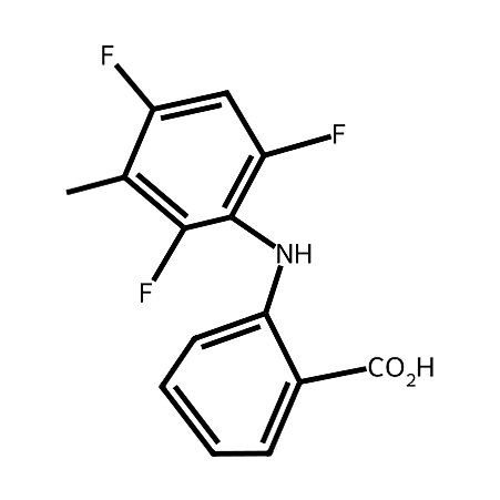 Cc1c(F)cc(F)c(Nc2ccccc2C(=O)O)c1F